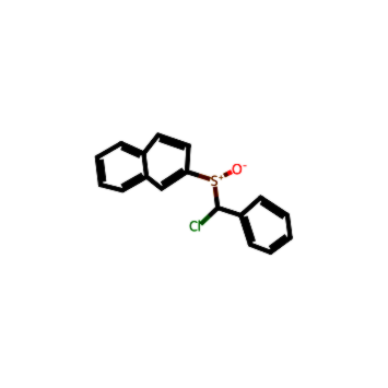 [O-][S+](c1ccc2ccccc2c1)C(Cl)c1ccccc1